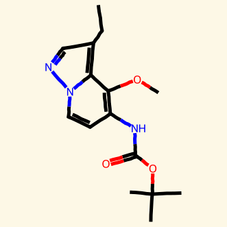 CCc1cnn2ccc(NC(=O)OC(C)(C)C)c(OC)c12